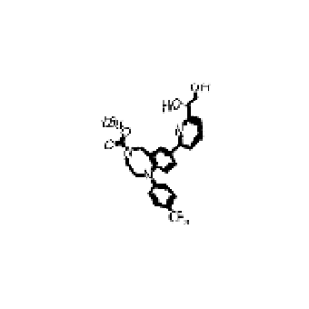 CC(C)(C)OC(=O)N1CCN(c2ccc(C(F)(F)F)cc2)c2ccc(-c3cccc([C@H](O)CO)n3)cc2C1